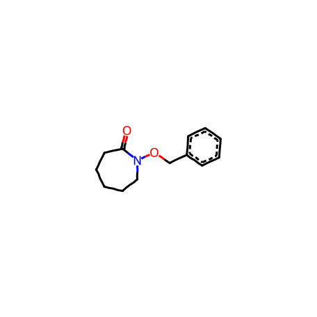 O=C1CCCCCN1OCc1ccccc1